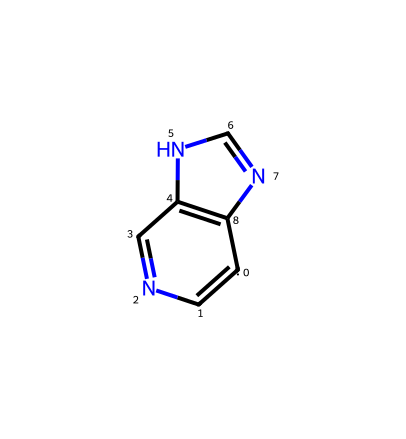 [c]1cncc2[nH]cnc12